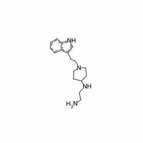 NCCNC1CCN(CCc2c[nH]c3ccccc23)CC1